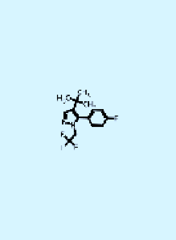 CC(C)(C)c1cnn(CC(F)(F)F)c1-c1ccc(F)cc1